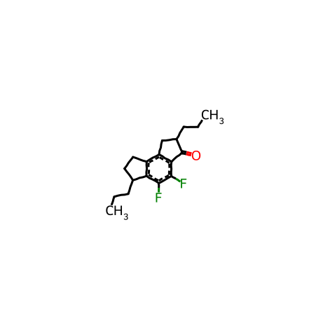 CCCC1Cc2c3c(c(F)c(F)c2C1=O)C(CCC)CC3